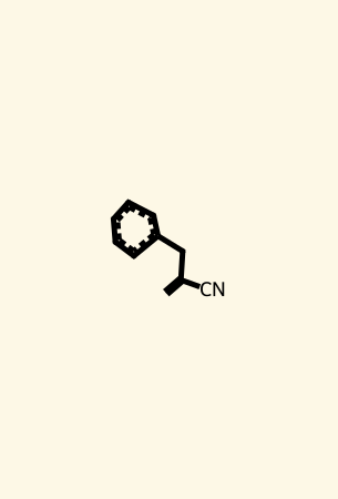 C=C(C#N)Cc1ccccc1